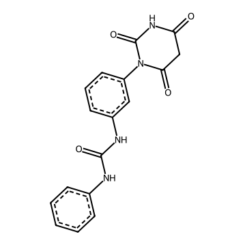 O=C1CC(=O)N(c2cccc(NC(=O)Nc3ccccc3)c2)C(=O)N1